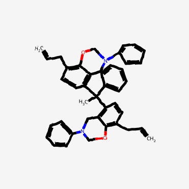 C=CCc1ccc(C(C)(c2ccccc2)c2ccc(CC=C)c3c2CN(c2ccccc2)CO3)c2c1OCN(c1ccccc1)C2